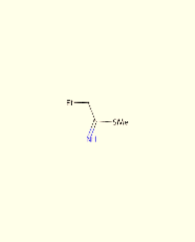 CCCC(=N)SC